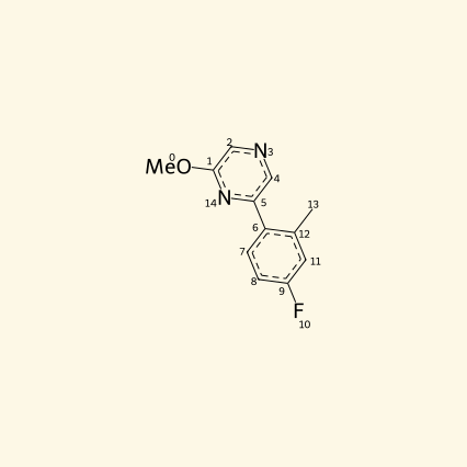 COc1cncc(-c2ccc(F)cc2C)n1